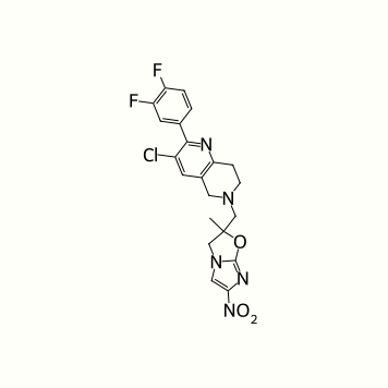 CC1(CN2CCc3nc(-c4ccc(F)c(F)c4)c(Cl)cc3C2)Cn2cc([N+](=O)[O-])nc2O1